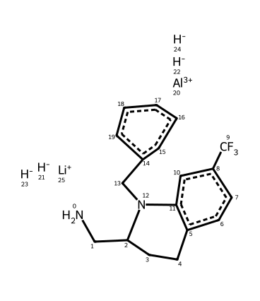 NCC1CCc2ccc(C(F)(F)F)cc2N1Cc1ccccc1.[Al+3].[H-].[H-].[H-].[H-].[Li+]